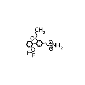 C=CCC1Oc2cccc(OC(F)F)c2-c2ccc(CCS(N)(=O)=O)cc21